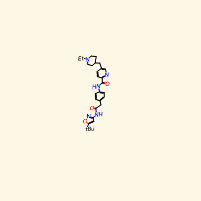 CCN1CCC(Cc2ccc(C(=O)Nc3ccc(CC(=O)Nc4cc(C(C)(C)C)on4)cc3)nc2)CC1